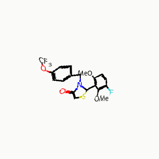 COc1ccc(F)c(OC)c1C1SCC(=O)N1Cc1ccc(OC(F)(F)F)cc1